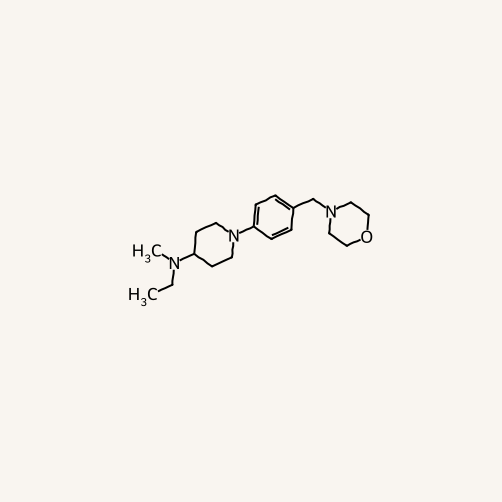 CCN(C)C1CCN(c2ccc(CN3CCOCC3)cc2)CC1